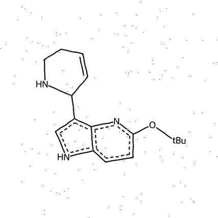 CC(C)(C)Oc1ccc2[nH]cc(C3C=CCCN3)c2n1